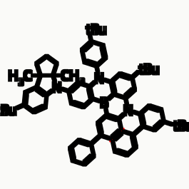 CC(C)(C)c1ccc(N2c3cc(N4c5ccc(C(C)(C)C)cc5C5(C)CCCC45C)ccc3B3c4cc(-c5ccccc5)ccc4N(c4ccc(C(C)(C)C)cc4-c4ccccc4)c4cc(C(C)(C)C)cc2c43)cc1